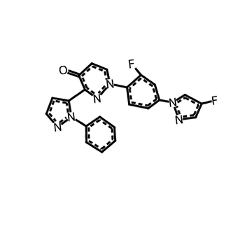 O=c1ccn(-c2ccc(-n3cc(F)cn3)cc2F)nc1-c1ccnn1-c1ccccc1